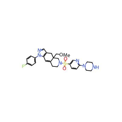 COCC12Cc3cnn(-c4ccc(F)cc4)c3C=C1CCN(S(=O)(=O)c1ccc(N3CCNCC3)nc1)C2